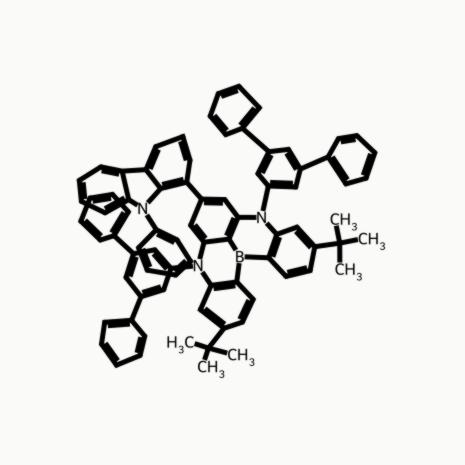 CC(C)(C)c1ccc2c(c1)N(c1cc(-c3ccccc3)cc(-c3ccccc3)c1)c1cc(-c3cccc4c5ccccc5n(-c5ccccc5)c34)cc3c1B2c1ccc(C(C)(C)C)cc1N3c1cc(-c2ccccc2)cc(-c2ccccc2)c1